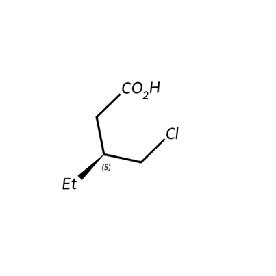 CC[C@H](CCl)CC(=O)O